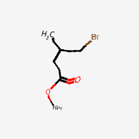 CCCOC(=O)CC(C)CBr